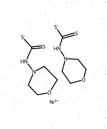 S=C([S-])NN1CCOCC1.S=C([S-])NN1CCOCC1.[Ni+2]